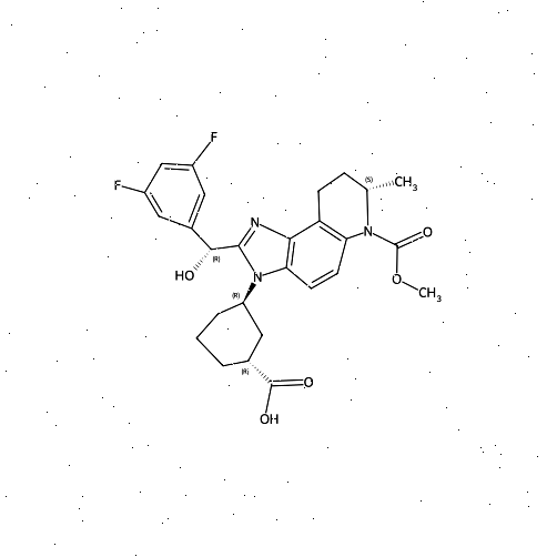 COC(=O)N1c2ccc3c(nc([C@H](O)c4cc(F)cc(F)c4)n3[C@@H]3CCC[C@@H](C(=O)O)C3)c2CC[C@@H]1C